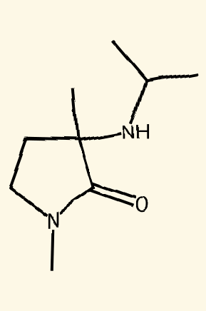 CC(C)NC1(C)CCN(C)C1=O